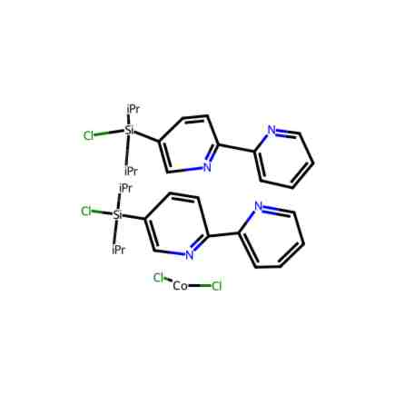 CC(C)[Si](Cl)(c1ccc(-c2ccccn2)nc1)C(C)C.CC(C)[Si](Cl)(c1ccc(-c2ccccn2)nc1)C(C)C.[Cl][Co][Cl]